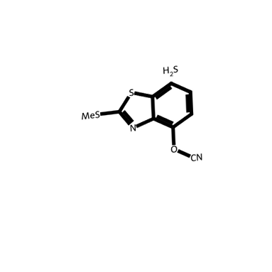 CSc1nc2c(OC#N)cccc2s1.S